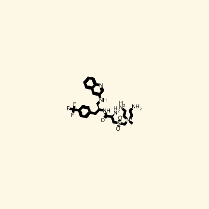 C[N+](CCN)(CCN)CS(=O)(=O)C[C@H](N)C(=O)N[C@H](CNc1cnc2ccccc2c1)Cc1ccc(C(F)(F)F)cc1